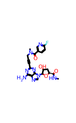 CNC(=O)[C@@H]1CC(O)C(n2cnc3c(N)nc(C#CCN(C)C(=O)c4ccc(F)nc4)nc32)O1